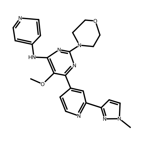 COc1c(Nc2ccncc2)nc(N2CCOCC2)nc1-c1ccnc(-c2ccn(C)n2)c1